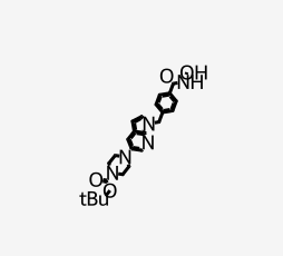 CC(C)(C)OC(=O)N1CCN(c2cnc3c(ccn3Cc3ccc(C(=O)NO)cc3)c2)CC1